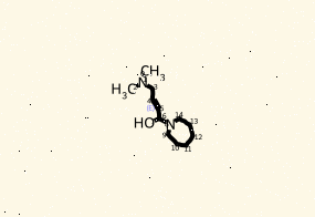 CN(C)C/C=C/C(O)N1CCCCCC1